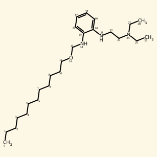 CCCCCCCCCCCCOCNc1ccccc1NCCN(CC)CC